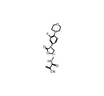 C=C(C#N)C(=O)NC[C@H]1CN(c2ccc(N3CCOCC3)c(F)c2)C(=O)O1